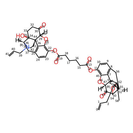 C=CCC1CCC23c4c5ccc(OC(=O)CCCCC(=O)Oc6ccc7c8c6O[C@H]6C(=O)CC[C@@]9(O)[C@@H](C7)N(CC=C)CC[C@]869)c4O[C@H]2C(=O)CC[C@@]3(OC)[C@@H](C5)C1C